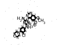 COc1cc2ncnc(-n3nc(Nc4ccc(N5CCOCC5)c(Cl)c4)nc3N)c2cc1OC